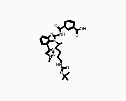 CC(CCCCNC(=O)OC(C)(C)C)n1c(NC(=O)c2cccc(C(=O)O)c2)nc2cccc(-c3cn(C)nn3)c21